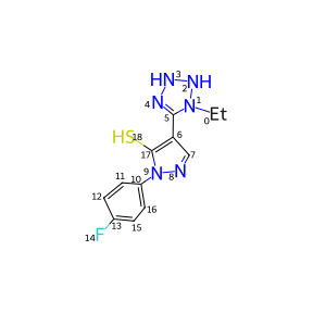 CCN1NNN=C1c1cnn(-c2ccc(F)cc2)c1S